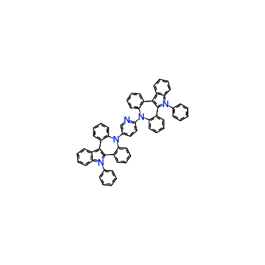 c1ccc(-n2c3c(c4ccccc42)-c2ccccc2N(c2ccc(N4c5ccccc5-c5c(n(-c6ccccc6)c6ccccc56)-c5ccccc54)nc2)c2ccccc2-3)cc1